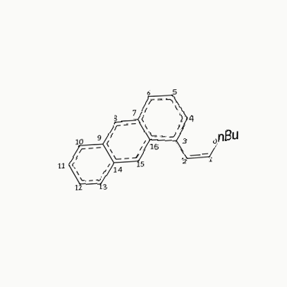 CCCC/C=[C]\c1cccc2cc3ccccc3cc12